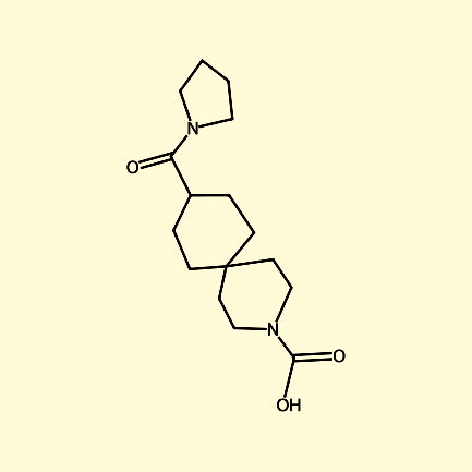 O=C(O)N1CCC2(CCC(C(=O)N3CCCC3)CC2)CC1